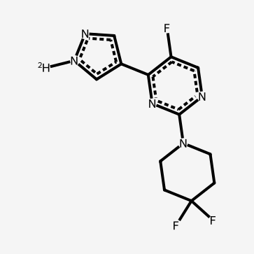 [2H]n1cc(-c2nc(N3CCC(F)(F)CC3)ncc2F)cn1